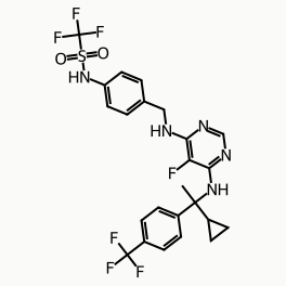 CC(Nc1ncnc(NCc2ccc(NS(=O)(=O)C(F)(F)F)cc2)c1F)(c1ccc(C(F)(F)F)cc1)C1CC1